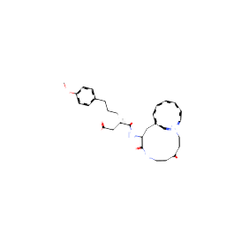 COc1ccc(CCC[C@H](CC(=O)O)C(=O)NC2Cc3ccccccn(c3)CCC(=O)CCNC2=O)cc1